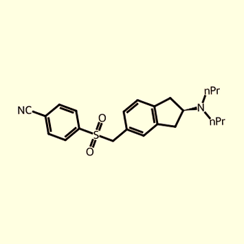 CCCN(CCC)[C@@H]1Cc2ccc(CS(=O)(=O)c3ccc(C#N)cc3)cc2C1